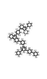 C1=Cc2c(n(-c3ccccc3)c3cccc(-c4ccc(-n5c6ccccc6c6ccc(-c7cccc(-c8nc(-c9ccccc9)cc(-c9ccc(-c%10ccccc%10)cc9)n8)c7)cc65)cc4)c23)CC1